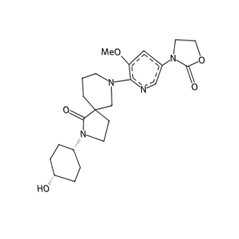 COc1cc(N2CCOC2=O)cnc1N1CCCC2(CCN([C@H]3CC[C@@H](O)CC3)C2=O)C1